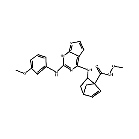 CONC(=O)C12C=CC(CC1Nc1nc(Nc3cccc(OC)c3)[nH]c3nccc1-3)C2